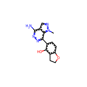 Cn1ncc2c(N)nnc(-c3ccc4c(c3O)CCO4)c21